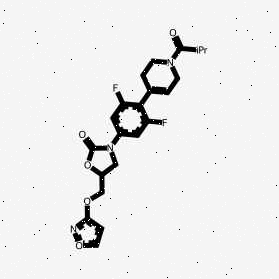 CC(C)C(=O)N1CC=C(c2c(F)cc(N3CC(COc4ccon4)OC3=O)cc2F)CC1